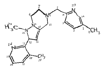 Cc1ccc(CN2CCN3C(=CC(c4ncccc4C)N3C)C2)nc1